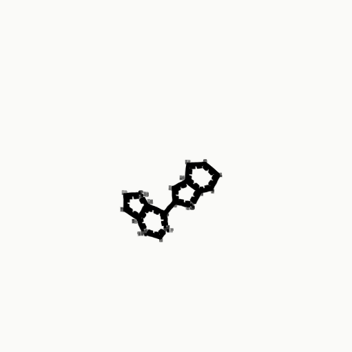 c1ccc2sc(-c3ncnc4ccsc34)cc2c1